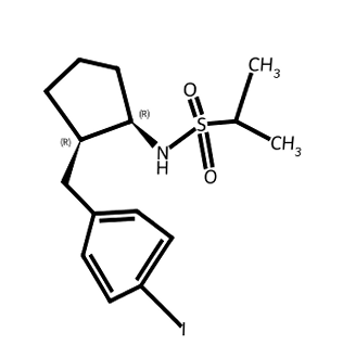 CC(C)S(=O)(=O)N[C@@H]1CCC[C@@H]1Cc1ccc(I)cc1